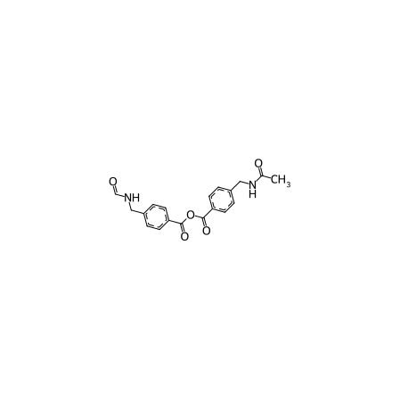 CC(=O)NCc1ccc(C(=O)OC(=O)c2ccc(CNC=O)cc2)cc1